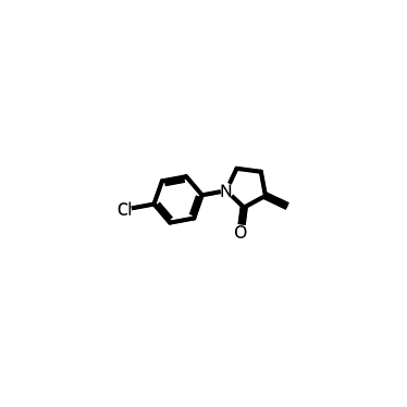 C=C1CCN(c2ccc(Cl)cc2)C1=O